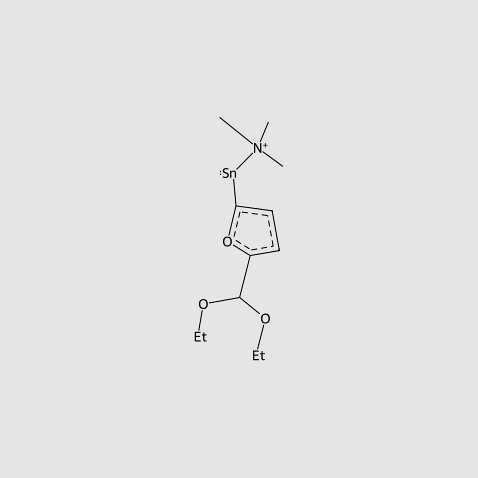 CCOC(OCC)c1cc[c]([Sn][N+](C)(C)C)o1